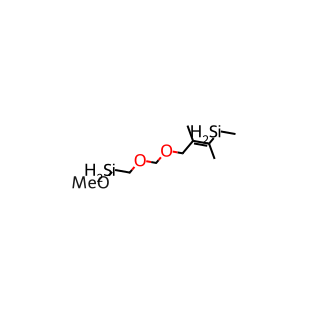 CO[SiH2]COCOC/C(C)=C(\C)[SiH2]C